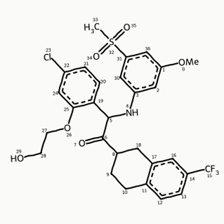 COc1cc(NC(C(=O)C2CCc3ccc(C(F)(F)F)cc3C2)c2ccc(Cl)cc2OCCO)cc(S(C)(=O)=O)c1